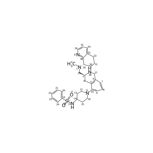 CN(C[C@@H]1Cc2c(cccc2N2CCC(NS(=O)(=O)c3ccccc3)CC2)CN1)[C@H]1CCCc2cccnc21